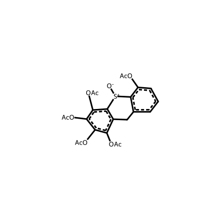 CC(=O)Oc1cccc2c1[S+]([O-])c1c(c(OC(C)=O)c(OC(C)=O)c(OC(C)=O)c1OC(C)=O)C2